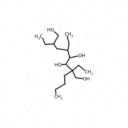 CCCCC(CC)(CO)C(O)C(O)C(CC)CC(CC)CO